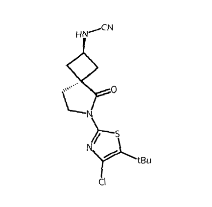 CC(C)(C)c1sc(N2CC[C@]3(C[C@H](NC#N)C3)C2=O)nc1Cl